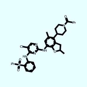 Cc1cc(Nc2ncc(Cl)c(Nc3ccccc3S(=O)(=O)C(C)C)n2)c2c(c1C1CCN(C(=O)C(C)C)CC1)CC(C)O2